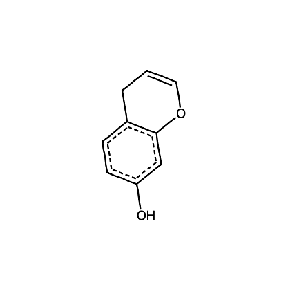 Oc1ccc2c(c1)OC=CC2